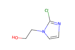 OCCn1ccnc1Cl